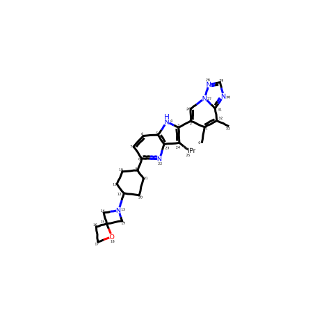 Cc1c(-c2[nH]c3ccc(C4CCC(N5CC6(CCO6)C5)CC4)nc3c2C(C)C)cn2ncnc2c1C